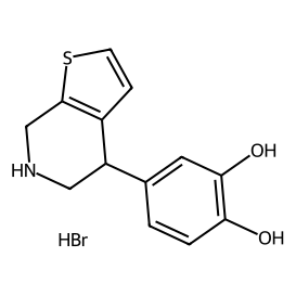 Br.Oc1ccc(C2CNCc3sccc32)cc1O